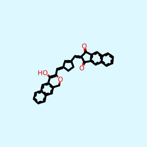 O=C1C(=CC2=C/C(=C/C3=C(O)c4cc5ccccc5cc4CO3)CC2)C(=O)c2cc3ccccc3cc21